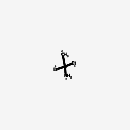 [CH2]CC(C)(N)CC